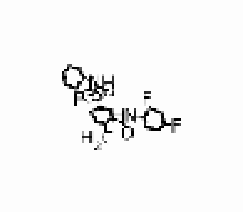 Cc1ccc(S(=O)(=O)Nc2ccccc2F)cc1C(=O)Nc1ccc(F)cc1F